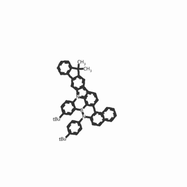 CC(C)(C)c1ccc(N2B3c4cc(C(C)(C)C)ccc4-n4c5cc6c(cc5c5ccc(c3c54)-c3c2ccc2ccccc32)C(C)(C)c2ccccc2-6)cc1